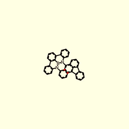 c1ccc(N2B3c4c(cccc4-c4ccccc4N3c3ccc4c5c(cccc35)-c3ccccc3-4)-c3ccccc32)cc1